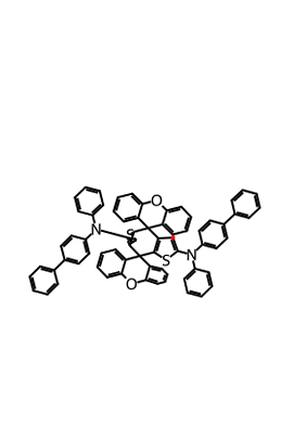 c1ccc(-c2ccc(N(c3ccccc3)c3cc4c(s3)C3(c5ccccc5Oc5ccccc53)c3cc(N(c5ccccc5)c5ccc(-c6ccccc6)cc5)sc3C43c4ccccc4Oc4ccccc43)cc2)cc1